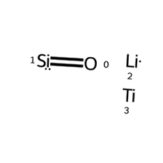 O=[Si].[Li].[Ti]